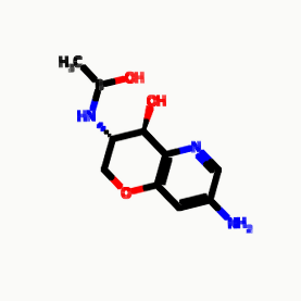 CB(O)N[C@H]1COc2cc(N)cnc2[C@@H]1O